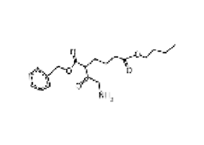 CCCCOC(=O)CCCC(C(=O)CN)C(=O)OCc1ccccc1